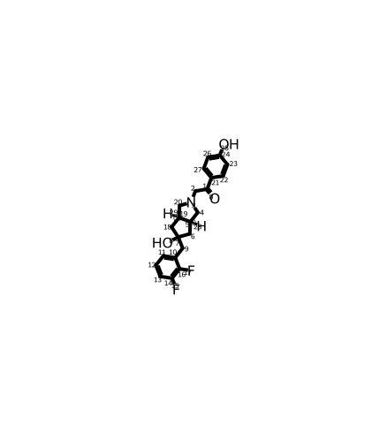 O=C(CN1C[C@@H]2CC(O)(Cc3cccc(F)c3F)C[C@@H]2C1)c1ccc(O)cc1